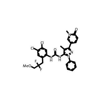 COCC(F)(F)Cc1cc(Cl)c(Cl)cc1NC(=O)Nc1c(C)c(-c2ccc(=O)n(C)c2)nn1-c1ccccc1